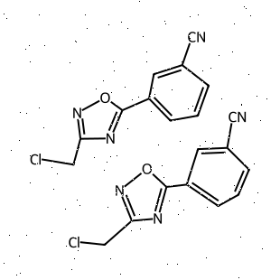 N#Cc1cccc(-c2nc(CCl)no2)c1.N#Cc1cccc(-c2nc(CCl)no2)c1